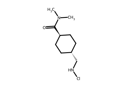 CN(C)C(=O)[C@H]1CC[C@H](CNCl)CC1